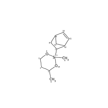 CC1CCO[Si](C)(C2CC3C=CC2C3)O1